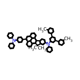 Cc1cccc(-c2cc(-c3cccc(C)c3)cc(N(c3ccccc3)c3ccc4c(c3)C(C)(C)c3c-4c4cccc5cc(-c6ccc(N(c7ccccc7)c7ccccc7)cc6)c6cccc3c6c54)c2)c1